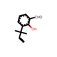 C=CC(C)(C)c1cccc(C=O)c1O